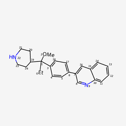 CCC(OC)(c1ccc(-c2cnc3ccccc3c2)cc1)C1CCNCC1